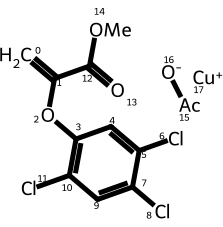 C=C(Oc1cc(Cl)c(Cl)cc1Cl)C(=O)OC.CC(=O)[O-].[Cu+]